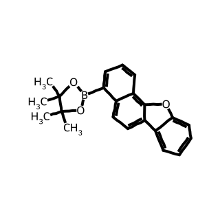 CC1(C)OB(c2cccc3c2ccc2c4ccccc4oc32)OC1(C)C